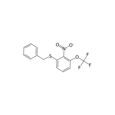 O=[N+]([O-])c1c(OC(F)(F)F)cccc1SCc1ccccc1